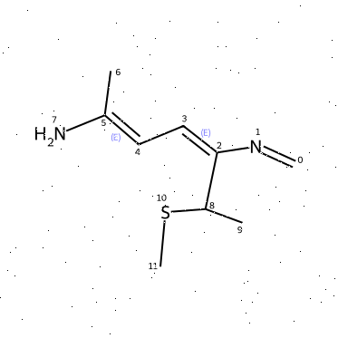 C=N/C(=C/C=C(\C)N)C(C)SC